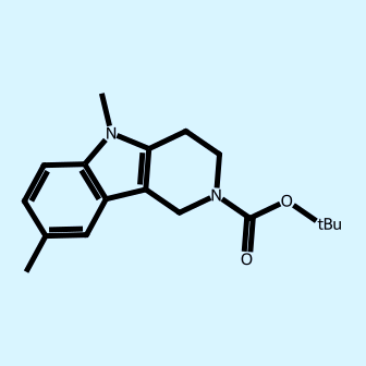 Cc1ccc2c(c1)c1c(n2C)CCN(C(=O)OC(C)(C)C)C1